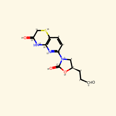 O=CCC[C@@H]1CN(c2ccc3c(n2)NC(=O)CS3)C(=O)O1